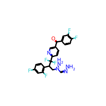 N/N=C\N(N)CC(c1ccc(F)cc1F)C(F)(F)c1ccc(C(=O)c2ccc(F)c(F)c2)cn1